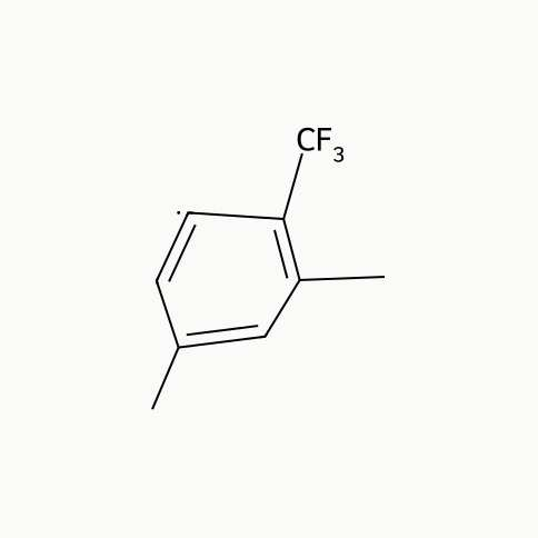 Cc1c[c]c(C(F)(F)F)c(C)c1